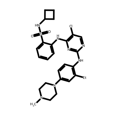 CCc1cc(N2CCN(C)CC2)ccc1Nc1ncc(Cl)c(Nc2ccccc2S(=O)(=O)NC2CCC2)n1